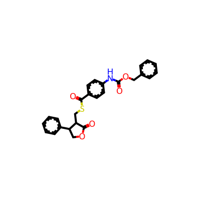 O=C(Nc1ccc(C(=O)SCC2C(=O)OCC2c2ccccc2)cc1)OCc1ccccc1